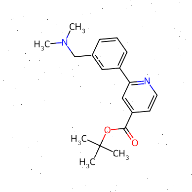 CN(C)Cc1cccc(-c2cc(C(=O)OC(C)(C)C)ccn2)c1